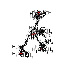 CC(=O)NC1C(OCCOCCOCCNC(=O)CCC(NCC(=O)C2CCC(OP(OCCC#N)N(C(C)C)C(C)C)CC2)C(=O)N(CC(=O)NCCOCCOCCOC2OC(COC(C)=O)C(OC(C)=O)C(OC(C)=O)C2NC(C)=O)CC(=O)NCCOCCOCCOC2(NC(C)=O)COC(COC(C)=O)C(OC(C)=O)C2OC(C)=O)OC(COC(C)=O)C(OC(C)=O)C1OC(C)=O